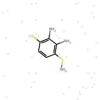 NSc1ccc(S)c(N)c1N